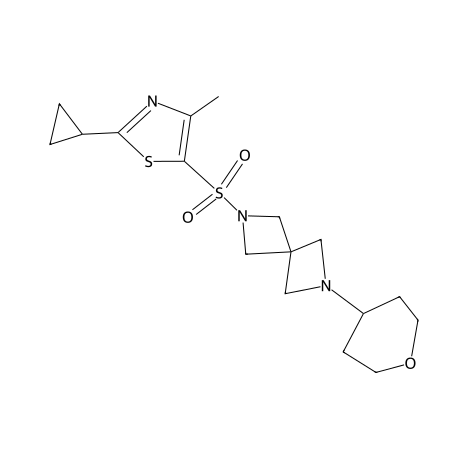 Cc1nc(C2CC2)sc1S(=O)(=O)N1CC2(CN(C3CCOCC3)C2)C1